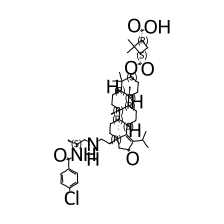 CC(C)C1=C2[C@H]3CC[C@@H]4[C@@]5(C)CC[C@H](OC(=O)[C@H]6C[C@@H](C(=O)O)C6(C)C)C(C)(C)[C@@H]5CC[C@@]4(C)[C@]3(C)CC[C@@]2(CCNC[C@H](C)NC(=O)c2ccc(Cl)cc2)CC1=O